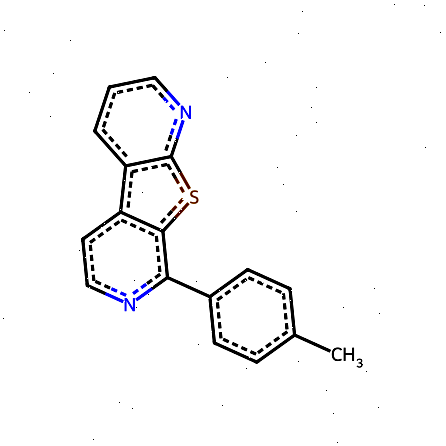 Cc1ccc(-c2nccc3c2sc2ncccc23)cc1